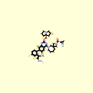 N#Cc1c(N)sc2c(F)ccc(-c3c(Cl)cc4c(N5CCCCC6(CN(C(=O)[C@@H]7CN7)C6)C5)nc(OC[C@@]56CCCN5C[C@H](F)C6)nc4c3F)c12